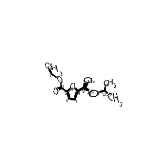 CCOC(=O)c1ccc(C(=O)OC(C)C)o1